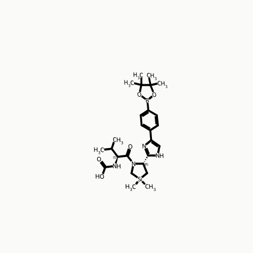 CC(C)[C@H](NC(=O)O)C(=O)N1C[Si](C)(C)C[C@H]1c1nc(-c2ccc(B3OC(C)(C)C(C)(C)O3)cc2)c[nH]1